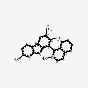 Cc1ccc2c(n1)oc1c(-c3c4ccccc4cc[n+]3C)c(C)c(C)cc12